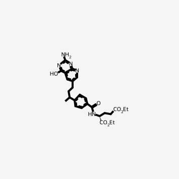 CCOC(=O)CC[C@@H](NC(=O)c1ccc(C(C)CCc2cnc3nc(N)nc(O)c3c2)cc1)C(=O)OCC